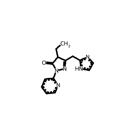 CCC1C(=O)N(c2ccccn2)N=C1Cc1ncc[nH]1